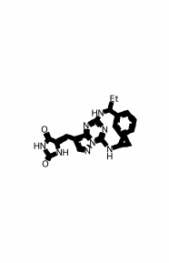 CCC(Nc1nc(NC2CC2)n2ncc(/C=C3\NC(=O)NC3=O)c2n1)c1ccccc1